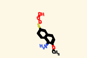 COc1ccc2cc(SOOO)ccc2c1N